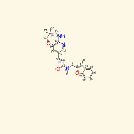 Cc1c(CN(C)C(=O)/C=C/c2cnc3c(c2)OCC(C)(C)CN3)oc2ccccc12